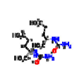 NC(=O)N[C@@H](CCC(=O)O)C(=O)O.NC(=O)N[C@@H](CCC(=O)O)C(=O)O